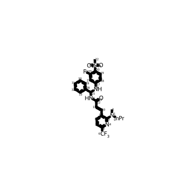 CCCN(C)c1nc(C(F)(F)F)ccc1C=CC(=O)NC(Nc1ccc(S(C)(=O)=O)c(F)c1)c1ccccc1